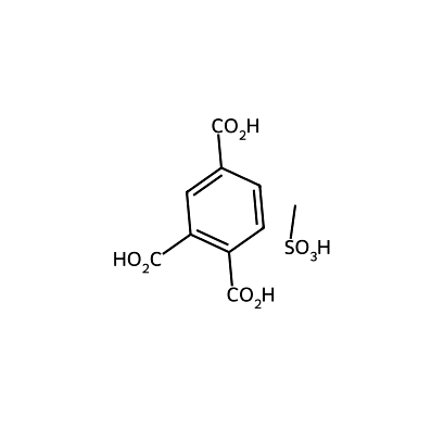 CS(=O)(=O)O.O=C(O)c1ccc(C(=O)O)c(C(=O)O)c1